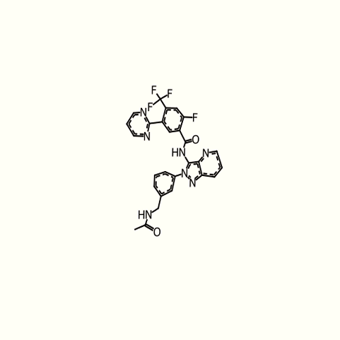 CC(=O)NCc1cccc(-n2nc3cccnc3c2NC(=O)c2cc(-c3ncccn3)c(C(F)(F)F)cc2F)c1